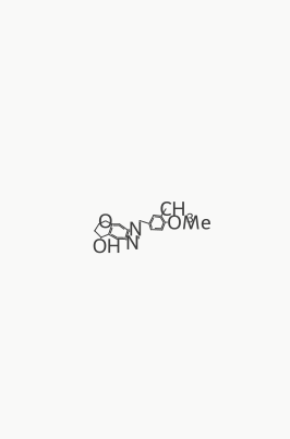 COc1ccc(Cn2cnc3cc4c(cc32)OCCC4O)cc1C